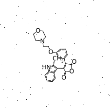 Cc1[nH]c2ccccc2c1C1=C(c2cccc(OCCN3CCOCC3)c2)C(=O)OC1=O